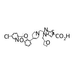 C[C@@]1(c2ccc(Cl)cn2)Oc2cccc(C3=CCN(Cc4nc5sc(C(=O)O)cc5n4C[C@@H]4CCO4)CC3)c2O1